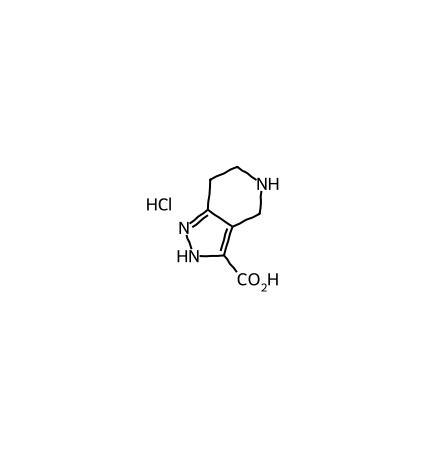 Cl.O=C(O)c1[nH]nc2c1CNCC2